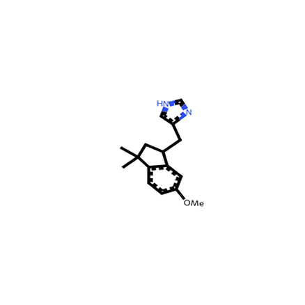 COc1ccc2c(c1)C(Cc1c[nH]cn1)CC2(C)C